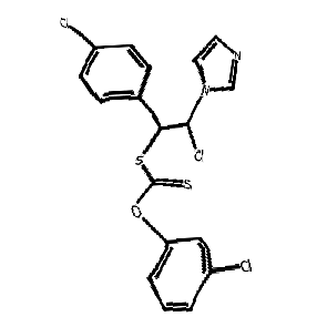 S=C(Oc1cccc(Cl)c1)SC(c1ccc(Cl)cc1)C(Cl)n1ccnc1